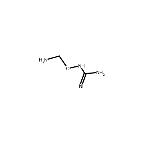 N=C(N)NOCN